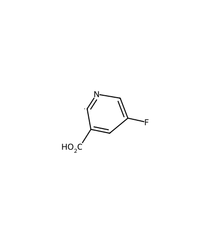 O=C(O)c1[c]ncc(F)c1